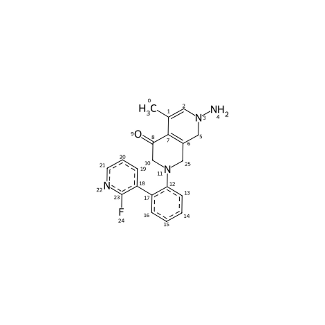 CC1=CN(N)CC2=C1C(=O)CN(c1ccccc1-c1cccnc1F)C2